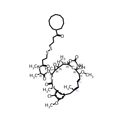 COc1cc2cc(c1Cl)N(C)C(=O)C[C@@H](OC(=O)[C@@H](C)N(C)C(=O)CCSSCCCC(=O)C1CCCCCCCCC1)[C@@]1(C)O[C@@H]1[C@@H](C)[C@H]1C[C@](O)(NC(=O)O1)[C@@H](OC)/C=C/C=C(\C)C2